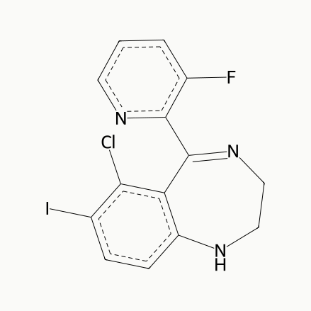 Fc1cccnc1C1=NCCNc2ccc(I)c(Cl)c21